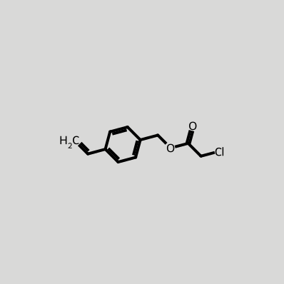 C=Cc1ccc(COC(=O)CCl)cc1